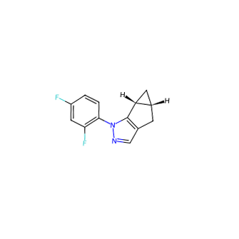 Fc1ccc(-n2ncc3c2[C@@H]2C[C@@H]2C3)c(F)c1